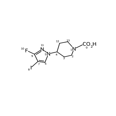 O=C(O)N1CCC(n2cc(I)c(F)n2)CC1